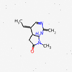 C=C(N)/N=C\C(=C/C)C1CC(=O)N(C)C1